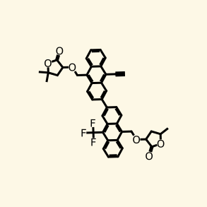 C#Cc1c2ccccc2c(COC2CC(C)(C)OC2=O)c2ccc(-c3ccc4c(COC5CC(C)OC5=O)c5ccccc5c(C(F)(F)F)c4c3)cc12